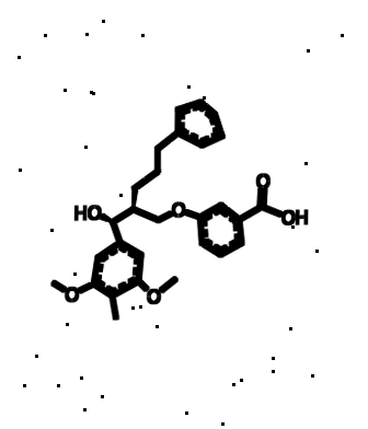 COc1cc([C@@H](O)[C@@H](CCCc2ccccc2)COc2cccc(C(=O)O)c2)cc(OC)c1C